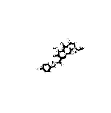 CCC[C@]12Cn3cc(C(=O)NCc4ccc(F)cc4)c(=O)c(O)c3C(=O)N1[C@H](C)CN2CC(C)C